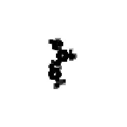 Cc1cn(-c2cc(-c3ncc4ccc([N+](=O)[O-])cc4n3)cc(C(F)(F)F)c2)cn1